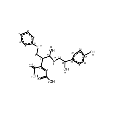 O=C(O)/C=C(\C(=O)O)C(COc1ccccc1)C(O)NCC(O)c1ccc(O)cc1